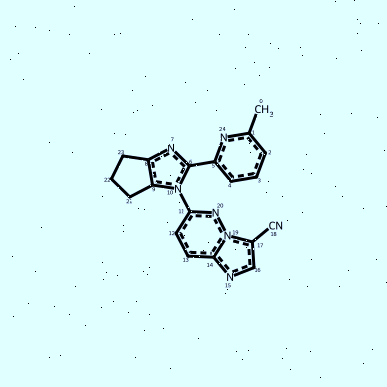 Cc1cccc(-c2nc3c(n2-c2ccc4ncc(C#N)n4n2)CCC3)n1